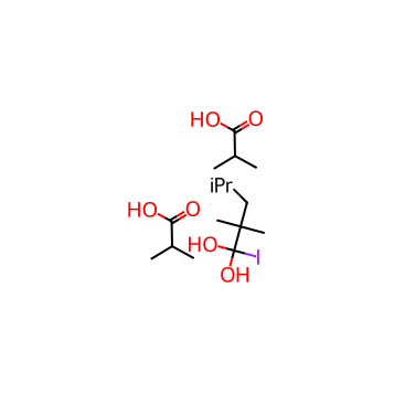 CC(C)C(=O)O.CC(C)C(=O)O.CC(C)CC(C)(C)C(O)(O)I